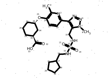 Cc1nc(-c2nnn(C)c2CNS(=O)(=O)NCC2CCCC2)ccc1O[C@H]1CCC[C@H](C(=O)O)C1